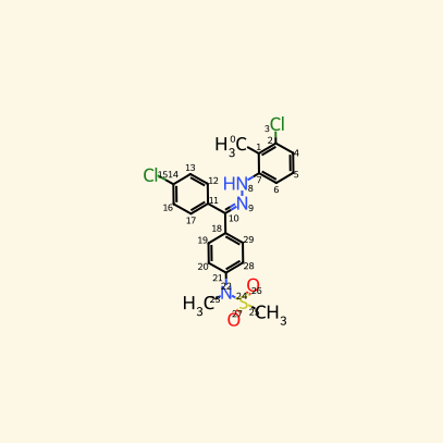 Cc1c(Cl)cccc1NN=C(c1ccc(Cl)cc1)c1ccc(N(C)S(C)(=O)=O)cc1